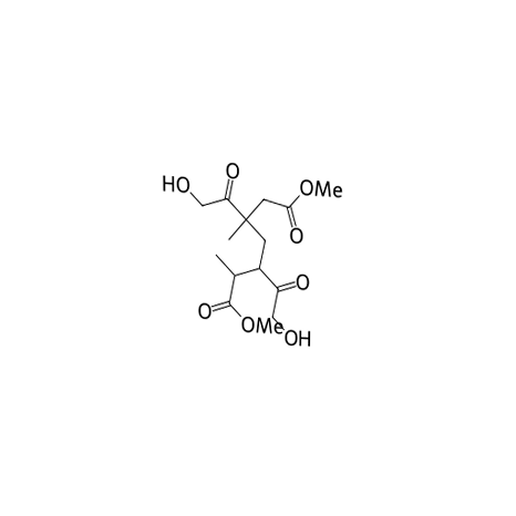 COC(=O)CC(C)(CC(C(=O)CO)C(C)C(=O)OC)C(=O)CO